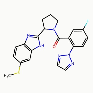 CSc1ccc2nc(C3CCCN3C(=O)c3cc(F)ccc3-n3nccn3)[nH]c2c1